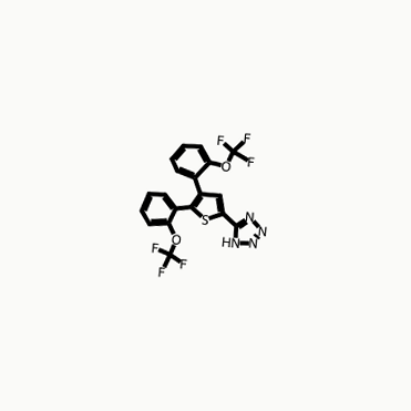 FC(F)(F)Oc1ccccc1-c1cc(-c2nnn[nH]2)sc1-c1ccccc1OC(F)(F)F